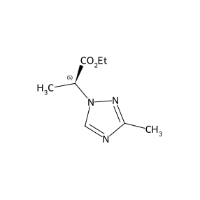 CCOC(=O)[C@H](C)n1cnc(C)n1